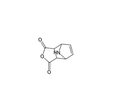 O=C1OC(=O)C2C3C=CC(N3)C12